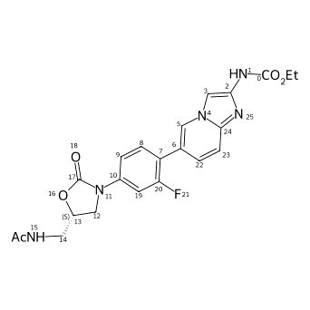 CCOC(=O)Nc1cn2cc(-c3ccc(N4C[C@H](CNC(C)=O)OC4=O)cc3F)ccc2n1